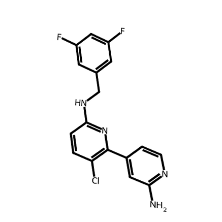 Nc1cc(-c2nc(NCc3cc(F)cc(F)c3)ccc2Cl)ccn1